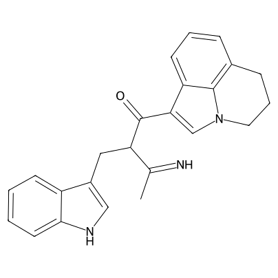 CC(=N)C(Cc1c[nH]c2ccccc12)C(=O)c1cn2c3c(cccc13)CCC2